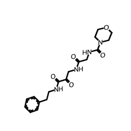 O=C(CNC(=O)N1CCOCC1)NCC(=O)C(=O)NCCc1ccccc1